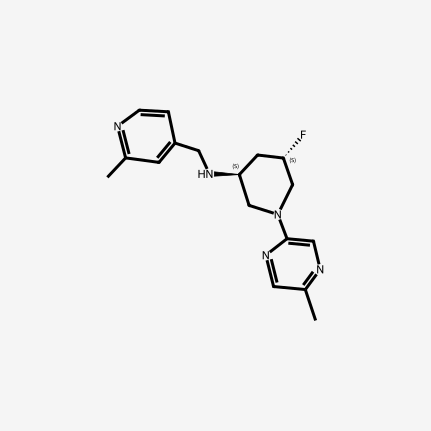 Cc1cnc(N2C[C@@H](F)C[C@H](NCc3ccnc(C)c3)C2)cn1